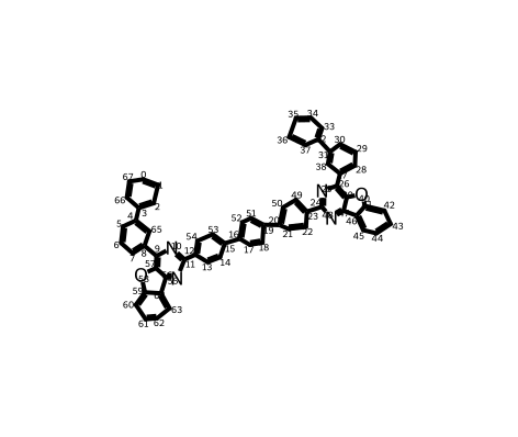 c1ccc(-c2cccc(-c3nc(-c4ccc(-c5ccc(-c6ccc(-c7nc(-c8cccc(-c9ccccc9)c8)c8oc9ccccc9c8n7)cc6)cc5)cc4)nc4c3oc3ccccc34)c2)cc1